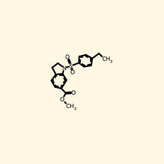 CCc1ccc(S(=O)(=O)N2CCc3ccc(C(=O)OC)cc32)cc1